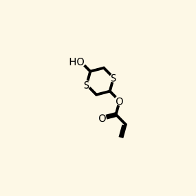 C=CC(=O)OC1CSC(O)CS1